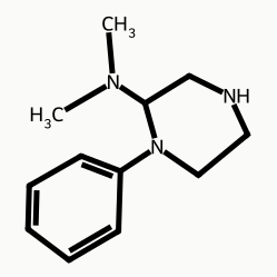 CN(C)C1CNCCN1c1ccccc1